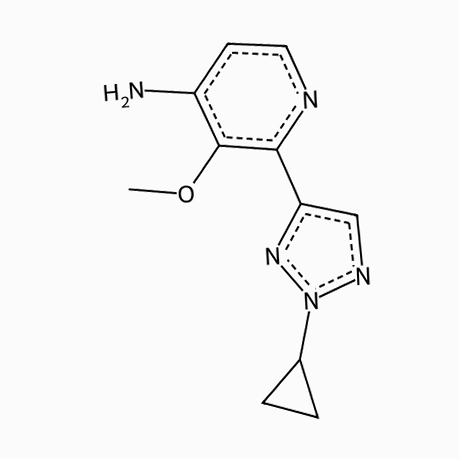 COc1c(N)ccnc1-c1cnn(C2CC2)n1